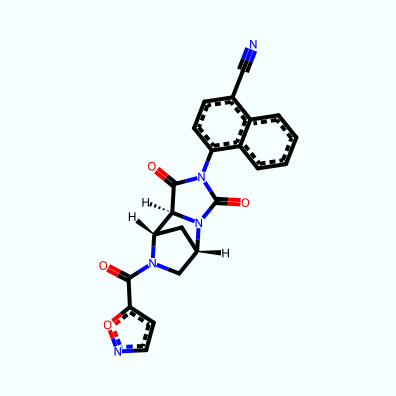 N#Cc1ccc(N2C(=O)[C@@H]3[C@@H]4C[C@@H](CN4C(=O)c4ccno4)N3C2=O)c2ccccc12